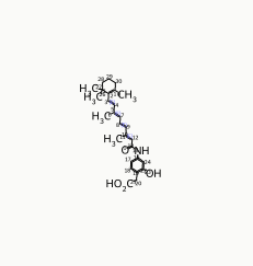 CC1=C(/C=C/C(C)=C/C=C/C(C)=C/C(=O)Nc2ccc(CC(=O)O)c(O)c2)C(C)(C)CCC1